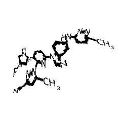 Cc1ccc(Nc2ccc3c(c2)ncn3-c2ccc([C@@H]3C[C@H](F)CN3)c(-n3nc(C#N)cc3C)n2)nn1